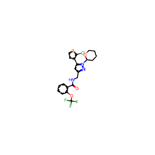 O=C(NCc1cc(-c2ccsc2Cl)n(C2CCCCO2)n1)c1ccccc1OC(F)(F)F